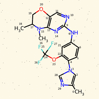 Cc1cn(-c2ccc(Nc3ncc4c(n3)N(C)C(C)CO4)cc2OC(F)(F)F)cn1